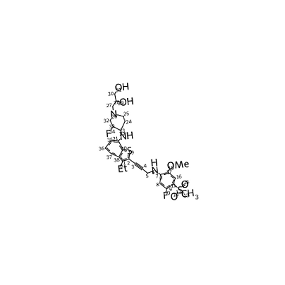 CCc1c(C#CCNc2cc(F)c(S(C)(=O)=O)cc2OC)sc2c(NC3CCN(CC(O)CO)CC3F)cccc12